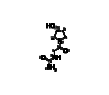 BC(=O)NCC(=O)N1CC[C@@H](O)C1